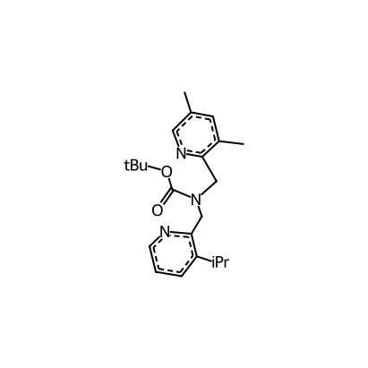 Cc1cnc(CN(Cc2ncccc2C(C)C)C(=O)OC(C)(C)C)c(C)c1